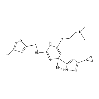 CCc1cc(CNC2=NC(N)(c3cc(C4CC4)n[nH]3)C=C(OCCN(C)C)N2)on1